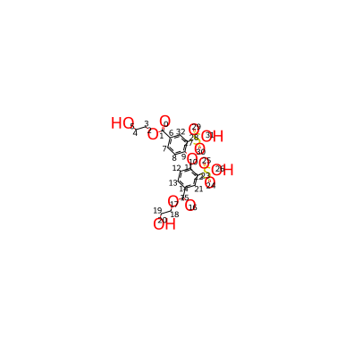 O=C(OCCO)c1ccc(Oc2ccc(C(=O)OCCO)cc2S(=O)(=O)O)c(S(=O)(=O)O)c1